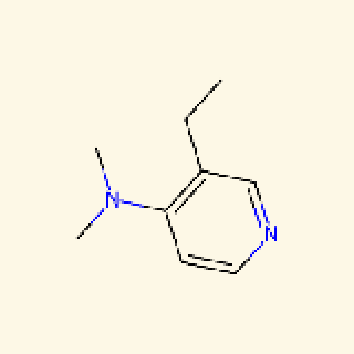 CCc1cnccc1N(C)C